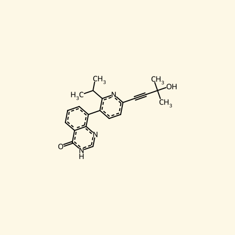 CC(C)c1nc(C#CC(C)(C)O)ccc1-c1cccc2c(=O)[nH]cnc12